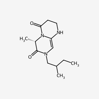 CCC(C)CN1C=C2NCCC(=O)N2[C@@H](C)C1=O